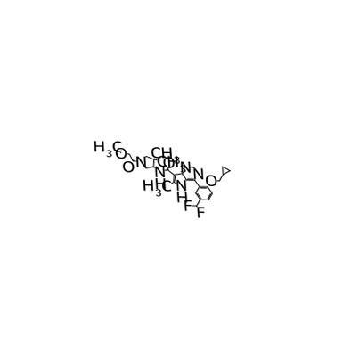 COCC(=O)N1CC(NC(=O)c2c(C)[nH]c3c(-c4cc(C(F)F)ccc4OCC4CC4)ncnc23)C(C)(C)C1